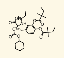 CCC(C)N[C@@](Cc1ccc(OC(=O)C(C)(C)CC)c(OC(=O)C(C)(C)CC)c1)(OC(=O)OC1CCCCC1)C(=O)O